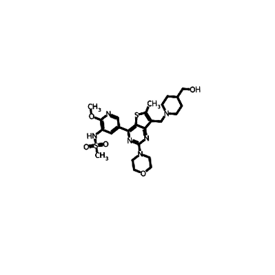 COc1ncc(-c2nc(N3CCOCC3)nc3c(CN4CCC(CO)CC4)c(C)sc23)cc1NS(C)(=O)=O